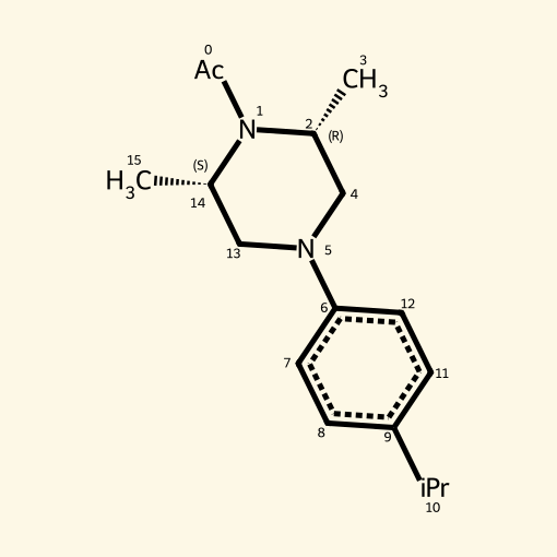 CC(=O)N1[C@H](C)CN(c2ccc(C(C)C)cc2)C[C@@H]1C